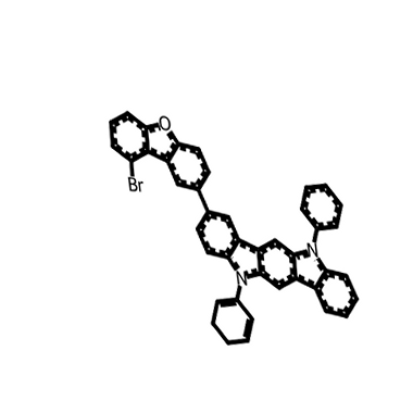 Brc1cccc2oc3ccc(-c4ccc5c(c4)c4cc6c(cc4n5C4=CCCC=C4)c4ccccc4n6-c4ccccc4)cc3c12